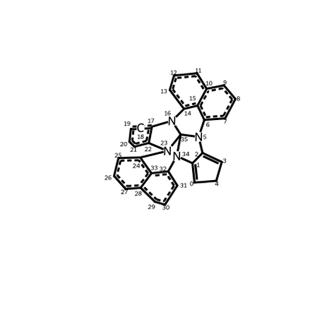 C1=C2C(=CC1)N1c3cccc4cccc(c34)N3c4ccccc4N4c5cccc6cccc(c56)N2C143